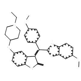 CCN1CCC(Nc2ccc3c(c2)/C(=C(\c2ccc(OC)cc2)c2nc4cc(OC)ccc4[nH]2)C(=O)N3)CC1